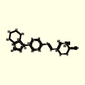 O=C1CCC(C=Cc2ccc(-n3cnc4c3CCCC4)cc2)=NN1